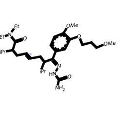 CCN(CC)C(=O)C(C/C=C/CC(C(=NNC(N)=O)c1ccc(OC)c(OCCCOC)c1)C(C)C)C(C)C